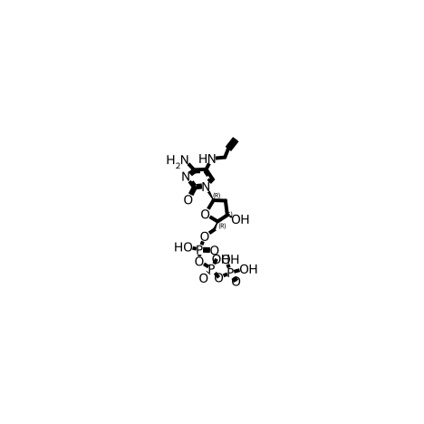 C#CCNc1cn([C@H]2C[C@H](O)[C@@H](COP(=O)(O)OP(=O)(O)OP(=O)(O)O)O2)c(=O)nc1N